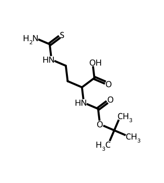 CC(C)(C)OC(=O)NC(CCNC(N)=S)C(=O)O